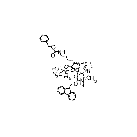 C[C@H](NC(=O)OCC1c2ccccc2-c2ccccc21)C(=O)N[C@@H](C)C(=O)N[C@@H](CCCCNC(=O)OCc1ccccc1)C(=O)OC(C)(C)C